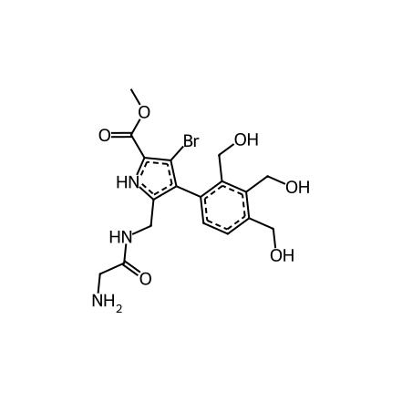 COC(=O)c1[nH]c(CNC(=O)CN)c(-c2ccc(CO)c(CO)c2CO)c1Br